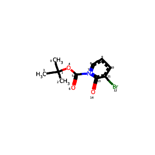 CC(C)(C)OC(=O)n1cccc(Br)c1=O